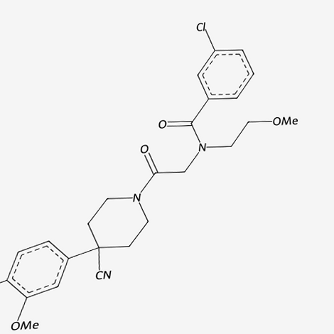 COCCN(CC(=O)N1CCC(C#N)(c2ccc(Cl)c(OC)c2)CC1)C(=O)c1cccc(Cl)c1